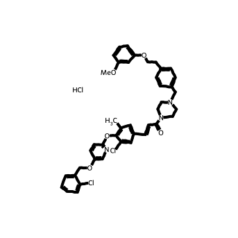 COc1cccc(OCCc2ccc(CN3CCN(C(=O)C=Cc4cc(C)c(Oc5ccc(OCc6ccccc6Cl)cn5)c(Cl)c4)CC3)cc2)c1.Cl